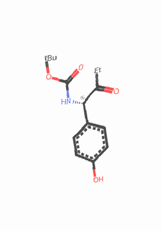 CCC(=O)[C@@H](NC(=O)OC(C)(C)C)c1ccc(O)cc1